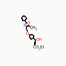 CCOC(=O)C#CC(O)c1ccc(OCCc2nc(-c3ccccc3)oc2C)cc1